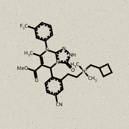 COC(=O)C1=C(C)N(c2cccc(C(F)(F)F)c2)c2n[nH]c(=O)n2C1c1ccc(C#N)cc1CC[N+](C)(C)CC1CCC1